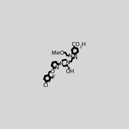 COCCn1c(CN2CCN(c3cccc(OCc4ccc(Cl)cc4F)n3)C[C@@H]2CO)nc2ccc(C(=O)O)cc21